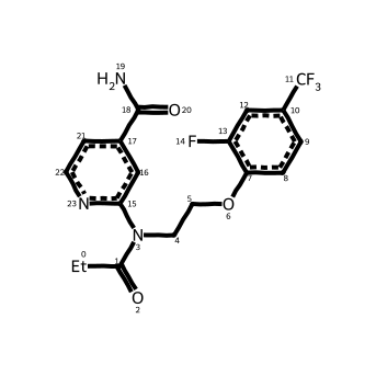 CCC(=O)N(CCOc1ccc(C(F)(F)F)cc1F)c1cc(C(N)=O)ccn1